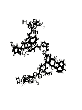 CN(CCCN1CCC[C@H]1COc1nc2c(c(N3CCN(C(=O)OCC[Si](C)(C)C)[C@@H](CC#N)C3)n1)CCN(c1cccc3cccc(Cl)c13)C2)C(=O)N1N=C(c2cc(F)ccc2F)S[C@@]1(CCCNC(=O)OC(C)(C)C)c1ccccc1